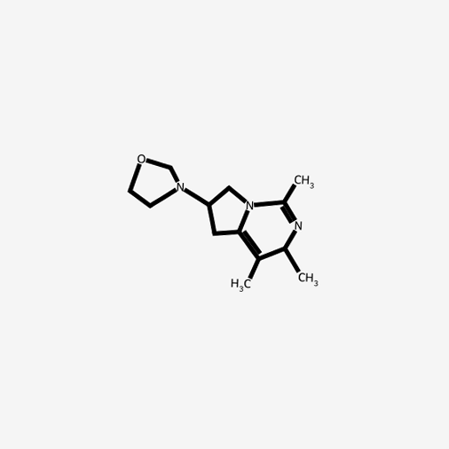 CC1=NC(C)C(C)=C2CC(N3CCOC3)CN12